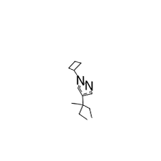 CCC(C)(CC)c1cnn(C2CCC2)c1